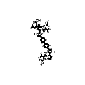 COC(=O)N[C@H](C(=O)N1CC2(CC1c1nc(-c3ccc(-c4ccc(-c5c[nH]c([C@@H]6CCCN6C(=O)[C@@H](NC(=O)OC)C(C)C)n5)cc4)cc3)c[nH]1)CN(C(=O)O)C2CC(C)C)C(C)C